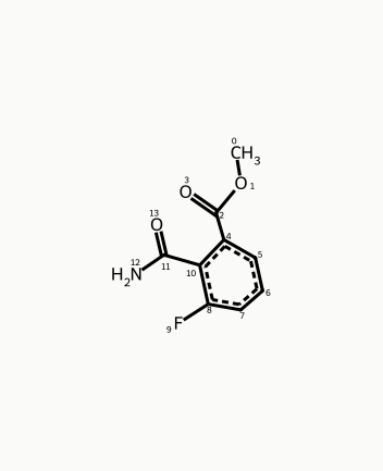 COC(=O)c1cccc(F)c1C(N)=O